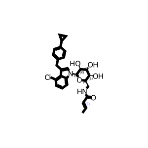 C/C=C/C(=O)NC[C@H]1O[C@@H](n2cc(Cc3ccc(C4CC4)cc3)c3c(Cl)cccc32)[C@H](O)[C@@H](O)[C@@H]1O